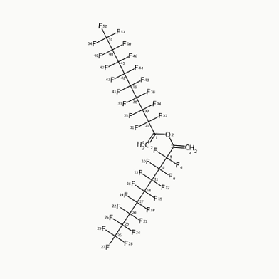 C=C(OC(=C)C(F)(F)C(F)(F)C(F)(F)C(F)(F)C(F)(F)C(F)(F)C(F)(F)C(F)(F)F)C(F)(F)C(F)(F)C(F)(F)C(F)(F)C(F)(F)C(F)(F)C(F)(F)C(F)(F)F